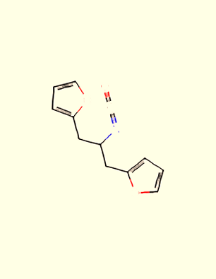 O=C=NC(Cc1ccco1)Cc1ccco1